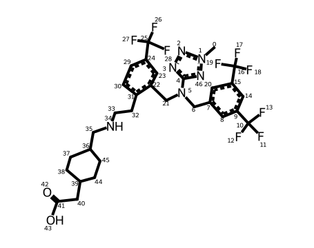 Cn1nnc(N(Cc2cc(C(F)(F)F)cc(C(F)(F)F)c2)Cc2cc(C(F)(F)F)ccc2CCNCC2CCC(CC(=O)O)CC2)n1